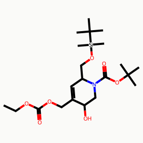 CCOC(=O)OCC1=CC(CO[Si](C)(C)C(C)(C)C)N(C(=O)OC(C)(C)C)CC1O